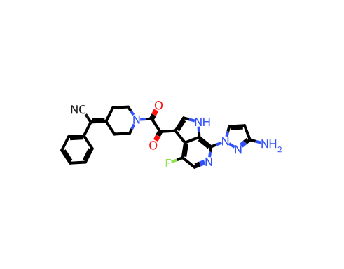 N#CC(=C1CCN(C(=O)C(=O)c2c[nH]c3c(-n4ccc(N)n4)ncc(F)c23)CC1)c1ccccc1